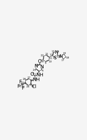 O=C(Nc1cnc(Oc2ccc(-c3cnc(N4CCC4)s3)cc2)nc1)Nc1ccc(C(F)(F)F)cc1Cl